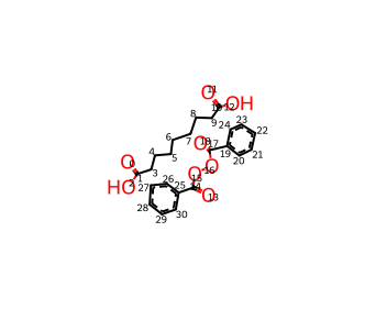 O=C(O)CCCCCCCC(=O)O.O=C(OOC(=O)c1ccccc1)c1ccccc1